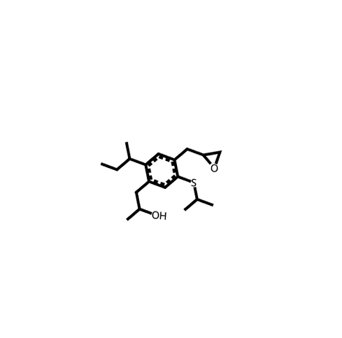 CCC(C)c1cc(CC2CO2)c(SC(C)C)cc1CC(C)O